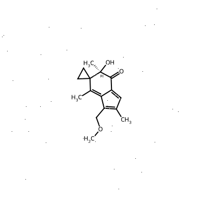 [CH2]OCC1=C(C)C=C2C(=O)[C@](C)(O)C3(CC3)C(C)=C21